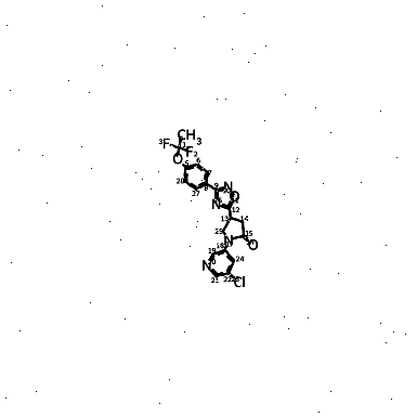 CC(F)(F)Oc1ccc(-c2noc(C3CC(=O)N(c4cncc(Cl)c4)C3)n2)cc1